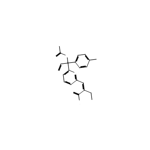 C=CC(OC(C)=O)(c1ccc(C)cc1)c1cccc(C=C(CC)C(=O)O)n1